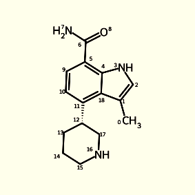 Cc1c[nH]c2c(C(N)=O)ccc([C@H]3CCCNC3)c12